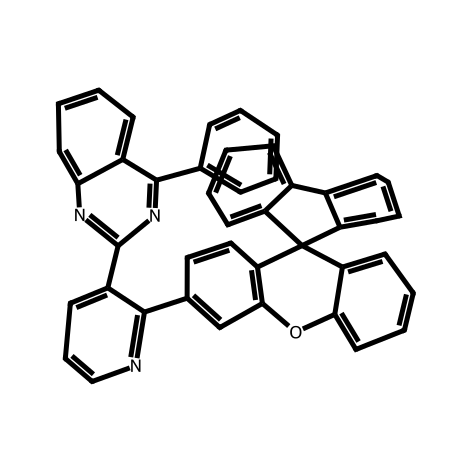 c1ccc(-c2nc(-c3cccnc3-c3ccc4c(c3)Oc3ccccc3C43c4ccccc4-c4ccccc43)nc3ccccc23)cc1